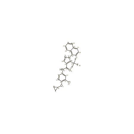 O=C(Nc1cnc(OC2CC2)c(Cl)c1)c1cnn(-c2cccc3ncccc23)c1C(F)(F)F